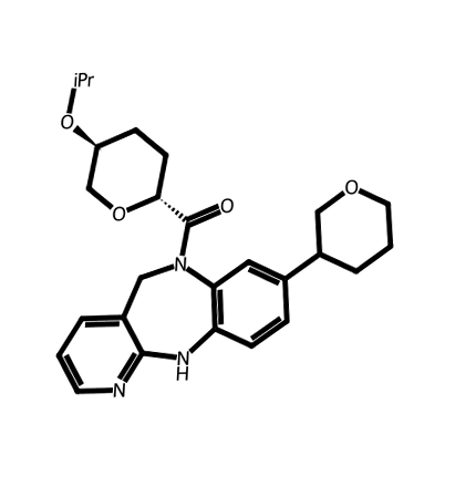 CC(C)O[C@H]1CC[C@H](C(=O)N2Cc3cccnc3Nc3ccc(C4CCCOC4)cc32)OC1